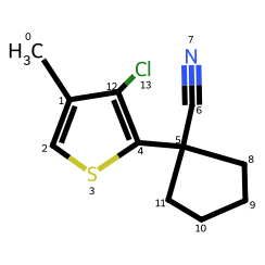 Cc1csc(C2(C#N)CCCC2)c1Cl